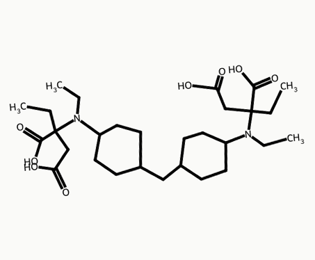 CCN(C1CCC(CC2CCC(N(CC)C(CC)(CC(=O)O)C(=O)O)CC2)CC1)C(CC)(CC(=O)O)C(=O)O